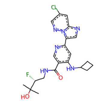 CC(C)(O)[C@H](F)CNC(=O)c1cnc(-c2cnc3cc(Cl)cnn23)cc1NC1CCC1